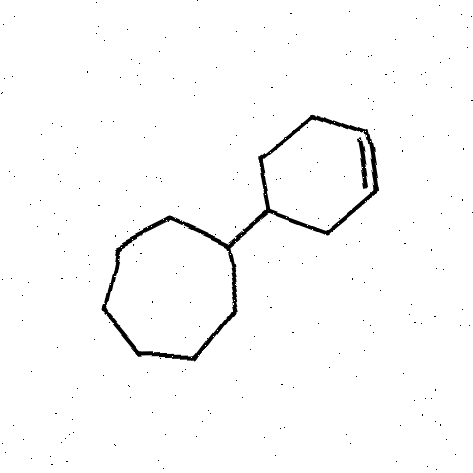 C1=CCC(C2CCCCCC2)CC1